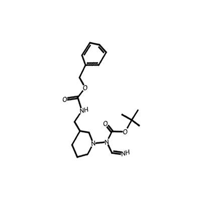 CC(C)(C)OC(=O)N(C=N)N1CCCC(CNC(=O)OCc2ccccc2)C1